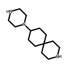 C1CN(C2CCC3(CCNCC3)CC2)CCN1